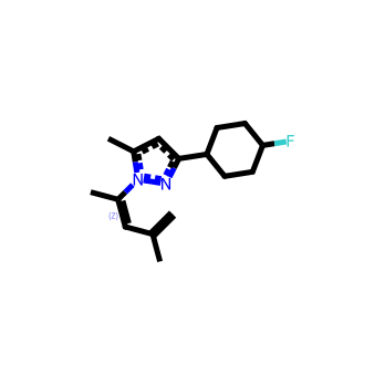 C=C(C)/C=C(/C)n1nc(C2CCC(F)CC2)cc1C